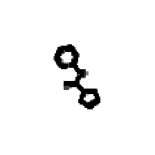 O=C(Nc1ccccc1)C1=CC=CC1